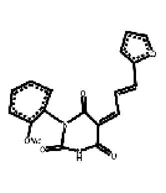 COc1ccccc1N1C(=O)NC(=O)/C(=C/C=C/c2ccco2)C1=O